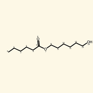 CCCCCC(=O)OCCCCCCO